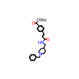 COC(=O)c1ccc(C=CC(=O)NCC2CCN(Cc3ccccc3)CC2)cc1